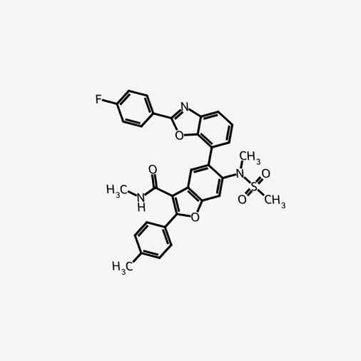 CNC(=O)c1c(-c2ccc(C)cc2)oc2cc(N(C)S(C)(=O)=O)c(-c3cccc4nc(-c5ccc(F)cc5)oc34)cc12